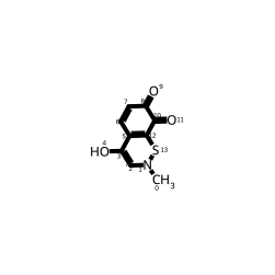 Cn1[c]c(O)c2ccc(=O)c(=O)c=2s1